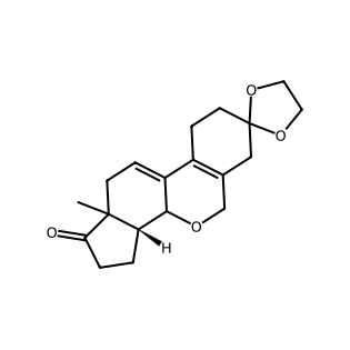 CC12CC=C3C4=C(COC3[C@@H]1CCC2=O)CC1(CC4)OCCO1